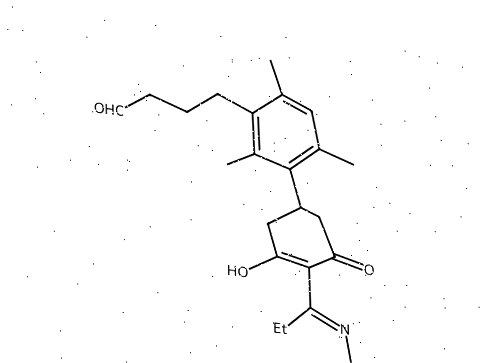 CCON=C(CC)C1=C(O)CC(c2c(C)cc(C)c(CCCC=O)c2C)CC1=O